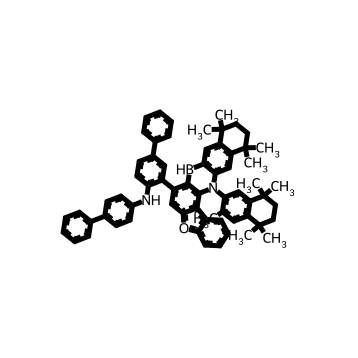 Cc1cc2c(cc1N1c3cc4c(cc3Bc3c(-c5cc(-c6ccccc6)ccc5Nc5ccc(-c6ccccc6)cc5)cc5oc6ccccc6c5c31)C(C)(C)CCC4(C)C)C(C)(C)CCC2(C)C